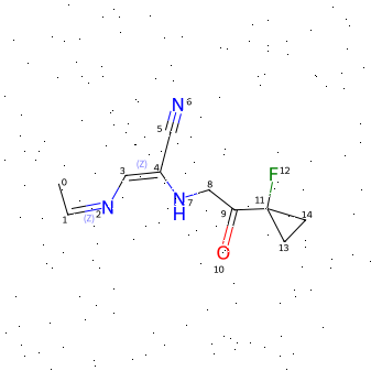 C/C=N\C=C(\C#N)NCC(=O)C1(F)CC1